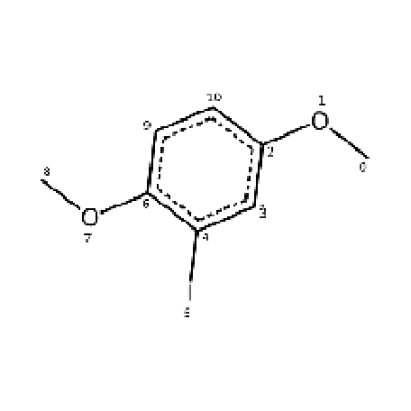 COc1[c]c(I)c(OC)cc1